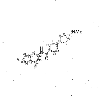 CNC1C2CN(c3cnc(C(=O)Nc4cc(F)c5nc(C)cn5c4)cn3)CC21